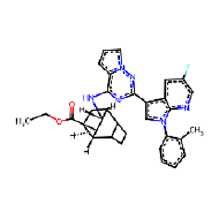 CCOC(=O)[C@H]1[C@H](Nc2nc(-c3cn(-c4ccccc4C)c4ncc(F)cc34)nn3cccc23)[C@@H]2CC[C@H]1C1CCC12